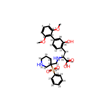 COc1cccc(OC)c1-c1ccc(C[C@H](NCC2(S(=O)(=O)c3ccccc3)CCCNC2)C(=O)O)c(O)c1